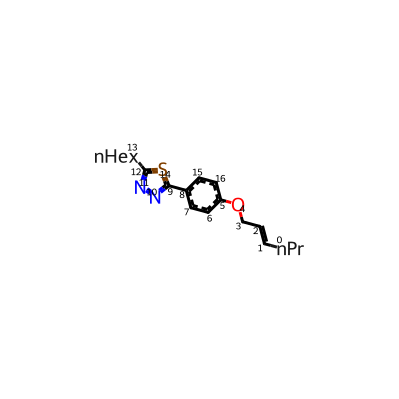 CCCC=CCOc1ccc(-c2nnc(CCCCCC)s2)cc1